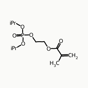 C=C(C)C(=O)OCCOP(=O)(OC(C)C)OC(C)C